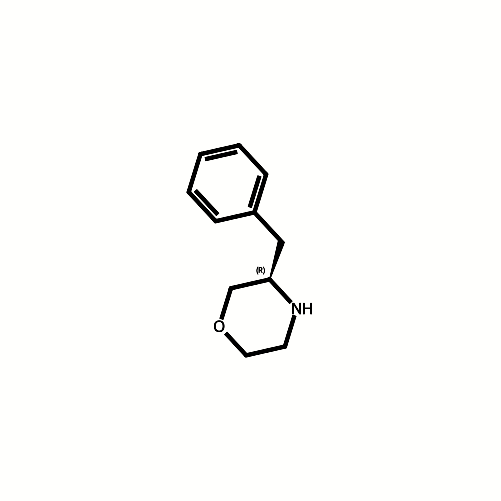 c1ccc(C[C@@H]2COCCN2)cc1